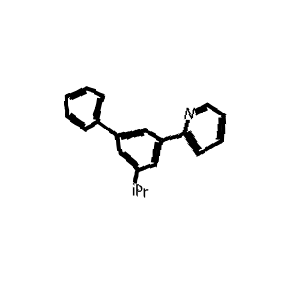 CC(C)c1cc(-c2ccccc2)cc(-c2ccccn2)c1